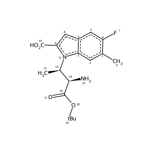 Cc1cc2c(cc1F)cc(C(=O)O)n2[C@H](C)[C@@H](N)C(=O)OC(C)(C)C